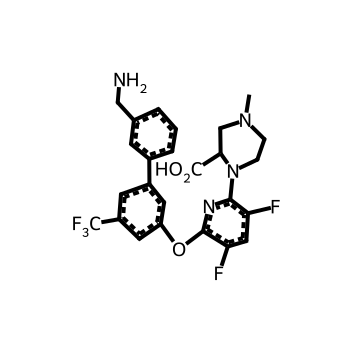 CN1CCN(c2nc(Oc3cc(-c4cccc(CN)c4)cc(C(F)(F)F)c3)c(F)cc2F)C(C(=O)O)C1